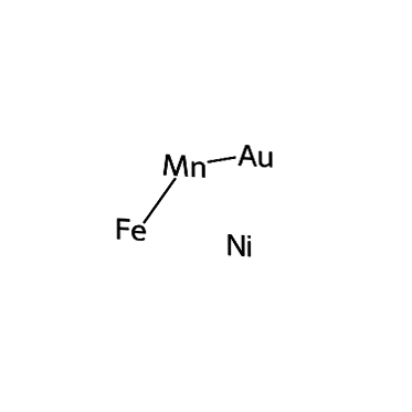 [Fe][Mn][Au].[Ni]